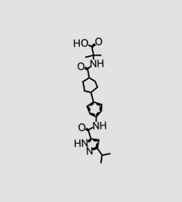 CC(C)c1cc(C(=O)Nc2ccc(C3CCC(C(=O)NC(C)(C)C(=O)O)CC3)cc2)[nH]n1